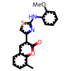 COc1ccccc1Nc1nc(-c2cc3cccc(C)c3oc2=O)cs1